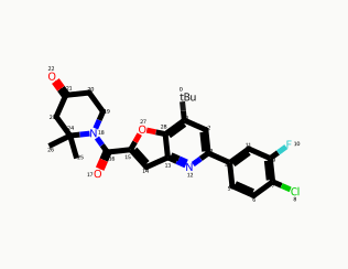 CC(C)(C)c1cc(-c2ccc(Cl)c(F)c2)nc2cc(C(=O)N3CCC(=O)CC3(C)C)oc12